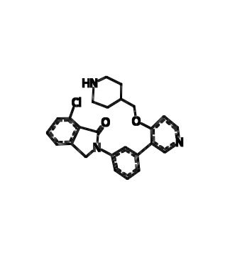 O=C1c2c(Cl)cccc2CN1c1cccc(-c2cnccc2OCC2CCNCC2)c1